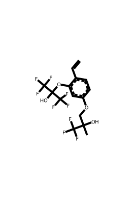 C=Cc1ccc(OCC(C)(O)C(F)(F)F)cc1OC(O)(C(F)(F)F)C(F)(F)F